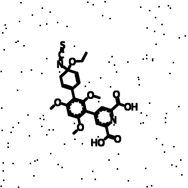 CCOC1(N=C=S)C=CC(c2c(OC)cc(OC)c(-c3cc(C(=O)O)nc(C(=O)O)c3)c2OC)=CC1